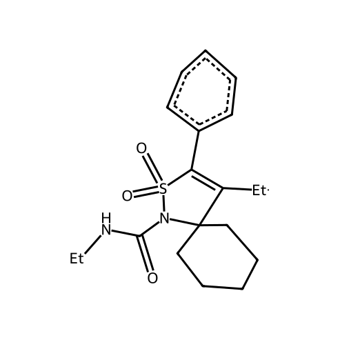 C[CH]C1=C(c2ccccc2)S(=O)(=O)N(C(=O)NCC)C12CCCCC2